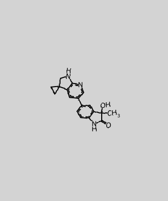 CC1(O)C(=O)Nc2ccc(-c3cnc4c(c3)C3(CC3)CN4)cc21